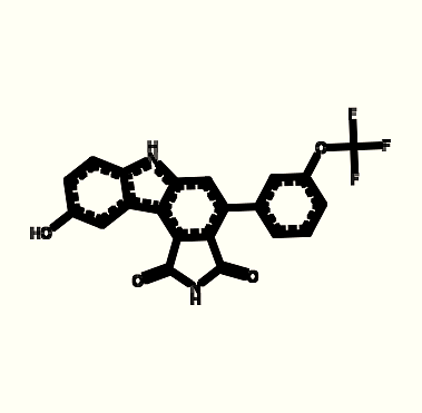 O=C1NC(=O)c2c1c(-c1cccc(OC(F)(F)F)c1)cc1[nH]c3ccc(O)cc3c21